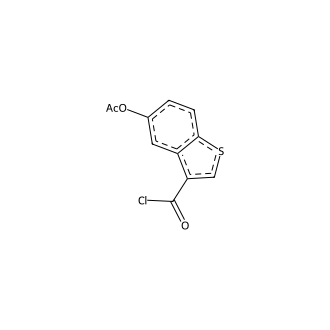 CC(=O)Oc1ccc2scc(C(=O)Cl)c2c1